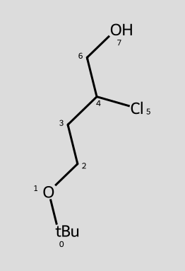 CC(C)(C)OCCC(Cl)CO